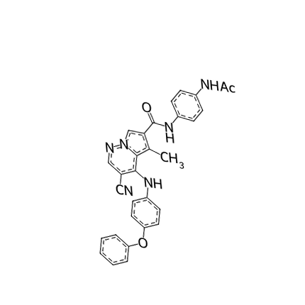 CC(=O)Nc1ccc(NC(=O)c2cn3ncc(C#N)c(Nc4ccc(Oc5ccccc5)cc4)c3c2C)cc1